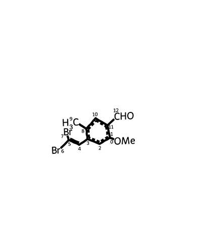 COc1cc(C=C(Br)Br)c(C)cc1C=O